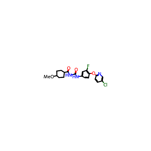 COC1CCC(C(=O)NC(=O)Nc2ccc(Oc3ccc(Cl)cn3)c(F)c2)CC1